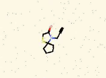 C#CCN1C(=O)CSC12CCCC2